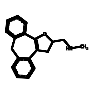 CNCC1CC2=C(O1)c1ccccc1Cc1ccccc12